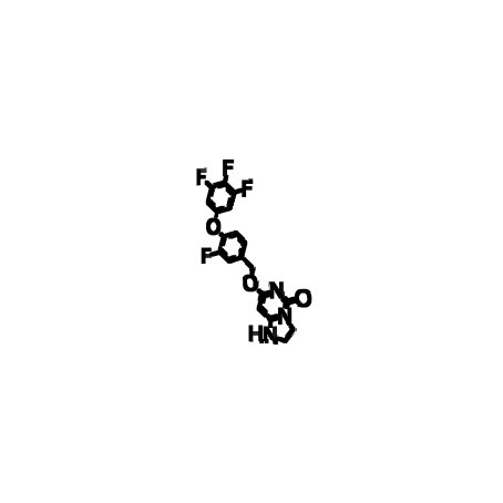 O=c1nc(OCc2ccc(Oc3cc(F)c(F)c(F)c3)c(F)c2)cc2n1CCN2